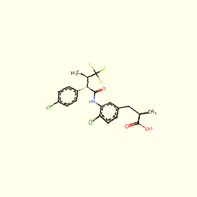 CC(Cc1ccc(Cl)c(NC(=O)[C@H](c2ccc(Cl)cc2)[C@@H](C)C(F)(F)F)c1)C(=O)O